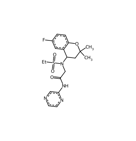 CCS(=O)(=O)N(CC(=O)Nc1cnccn1)C1CC(C)(C)Oc2ccc(F)cc21